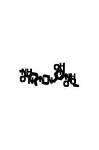 CCOC(=O)Nc1cc(CN2CCN(c3ccc(C(=O)NC)nc3C)CC2)cc(=O)[nH]1